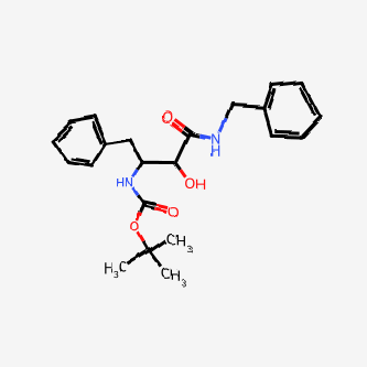 CC(C)(C)OC(=O)NC(Cc1ccccc1)C(O)C(=O)NCc1ccccc1